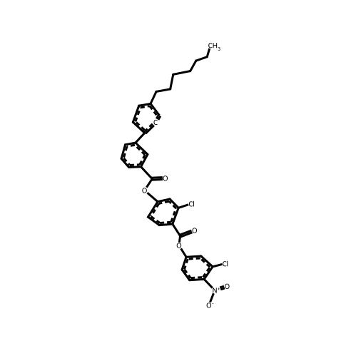 CCCCCCCc1ccc(-c2cccc(C(=O)Oc3ccc(C(=O)Oc4ccc([N+](=O)[O-])c(Cl)c4)c(Cl)c3)c2)cc1